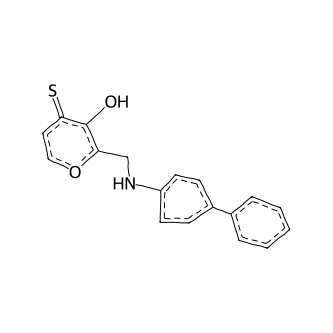 Oc1c(CNc2ccc(-c3ccccc3)cc2)occc1=S